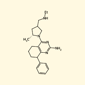 CCNCC1C[C@@H](C)N(c2nc(N)nc3c2CCCC3c2ccccc2)C1